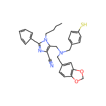 CCCCn1c(-c2ccccc2)nc(C#N)c1CN(Cc1ccc(S)cc1)Cc1ccc2c(c1)OCO2